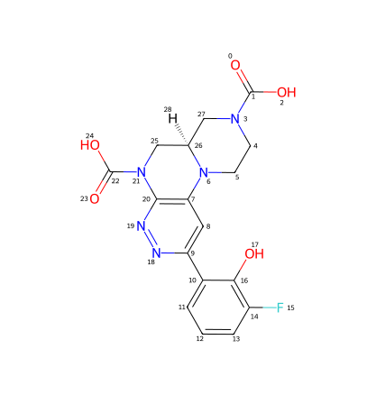 O=C(O)N1CCN2c3cc(-c4cccc(F)c4O)nnc3N(C(=O)O)C[C@H]2C1